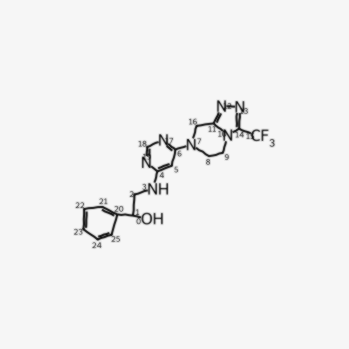 OC(CNc1cc(N2CCn3c(nnc3C(F)(F)F)C2)ncn1)c1ccccc1